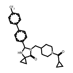 O=C(C1CC1)N1CCC(CN2C(=O)C3(CC3)NC2c2ccc(-c3ccc(C(F)(F)F)cc3)cc2)CC1